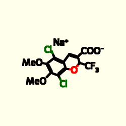 COc1c(Cl)c2c(c(Cl)c1OC)OC(C(F)(F)F)C(C(=O)[O-])=C2.[Na+]